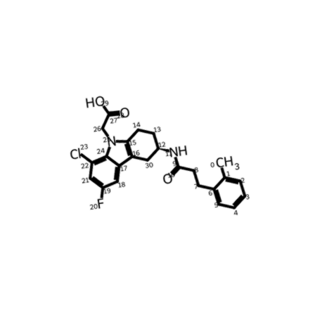 Cc1ccccc1CCC(=O)N[C@@H]1CCc2c(c3cc(F)cc(Cl)c3n2CC(=O)O)C1